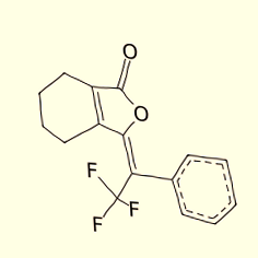 O=C1OC(=C(c2ccccc2)C(F)(F)F)C2=C1CCCC2